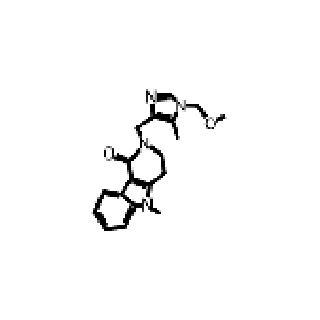 COCn1cnc(CN2CCc3c(c4ccccc4n3C)C2=O)c1C